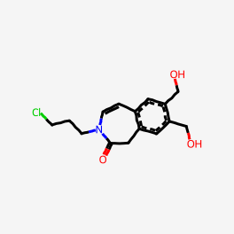 O=C1Cc2cc(CO)c(CO)cc2C=CN1CCCCl